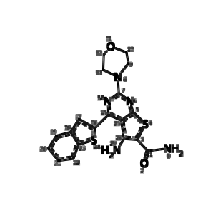 NC(=O)c1sc2nc(N3CCOCC3)nc(-c3cc4ccccc4s3)c2c1N